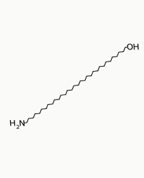 NCCCCCCCCCCCCCCCCCCCCCCCCCCCCCCCCO